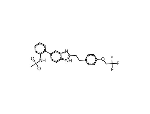 CS(=O)(=O)Nc1ccccc1-c1ccc2[nH]c(CCc3ccc(OCC(F)(F)F)cc3)nc2c1